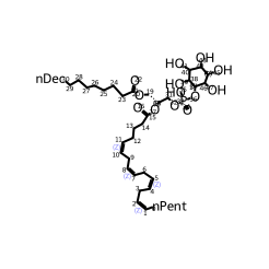 CCCCC/C=C\C/C=C\C/C=C\C/C=C\CCCC(=O)O[C@H](COC(=O)CCCCCCCCCCCCCCCCC)COP(=O)(O)O[C@H]1C(O)C(O)C(O)[C@@H](O)C1O